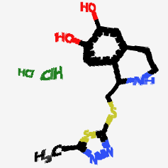 Cc1nnc(SCC2NCCc3cc(O)c(O)cc32)s1.Cl.Cl